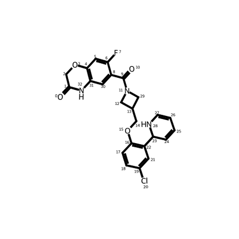 O=C1COc2cc(F)c(C(=O)N3CC(COc4ccc(Cl)cc4C4C=CC=CN4)C3)cc2N1